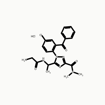 CC(NC(=O)CN)c1nc(C(=O)N(C)C)nn1-c1ccc(Cl)cc1C(=O)c1ccccc1.Cl